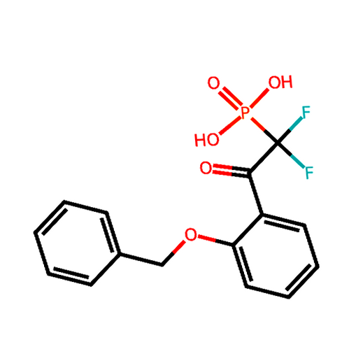 O=C(c1ccccc1OCc1ccccc1)C(F)(F)P(=O)(O)O